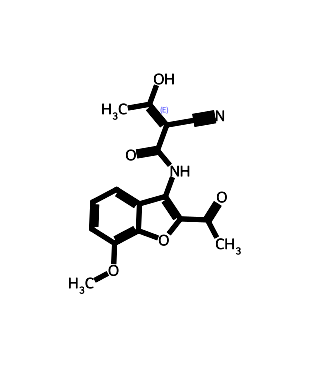 COc1cccc2c(NC(=O)/C(C#N)=C(\C)O)c(C(C)=O)oc12